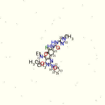 CCN1CC(C)(C)Oc2nc(N3CC4CCC(C3)O4)nc(-c3ccc(NC(=O)Nc4cn(C)cn4)c(F)c3)c2C1=O